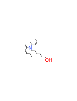 C=C(/C=C\CC)N(CCCCCCO)C(C)/C=C\C